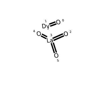 [O]=[Dy].[O]=[La](=[O])=[O]